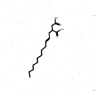 CCCCCCCCCC=CCC(CC(=O)O)C(=O)O